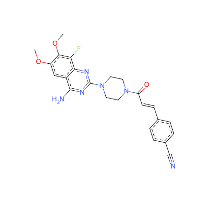 COc1cc2c(N)nc(N3CCN(C(=O)C=Cc4ccc(C#N)cc4)CC3)nc2c(F)c1OC